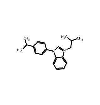 CC(C)C[n+]1cn(-c2ccc(C(C)C)cc2)c2ccccc21